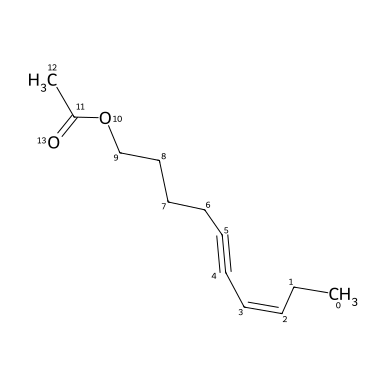 CC/C=C\C#CCCCCOC(C)=O